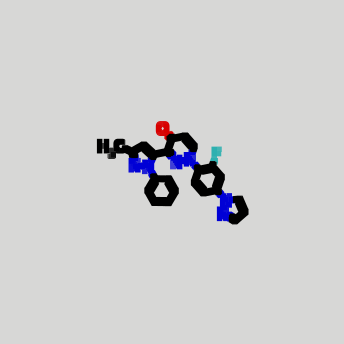 Cc1cc(-c2nn(-c3ccc(-n4cccn4)cc3F)ccc2=O)n(-c2ccccc2)n1